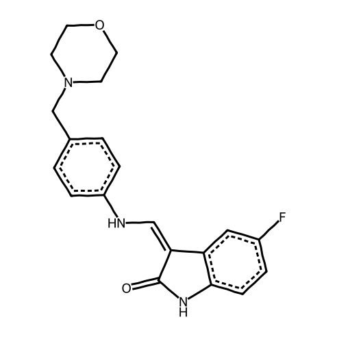 O=C1Nc2ccc(F)cc2C1=CNc1ccc(CN2CCOCC2)cc1